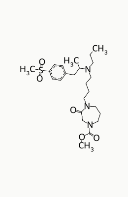 CCCN(CCCCN1CCCN(C(=O)OC)CC1=O)C(C)Cc1ccc(S(C)(=O)=O)cc1